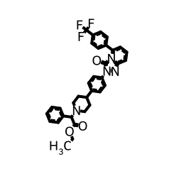 CCOC(=O)C(c1ccccc1)N1CCC(c2ccc(-n3nc4cccc(-c5ccc(C(F)(F)F)cc5)n4c3=O)cc2)CC1